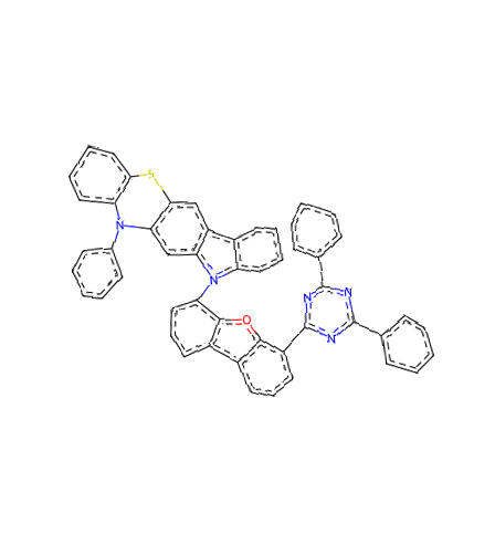 c1ccc(-c2nc(-c3ccccc3)nc(-c3cccc4c3oc3c(-n5c6ccccc6c6cc7c(cc65)N(c5ccccc5)c5ccccc5S7)cccc34)n2)cc1